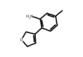 Cc1ccc(C2=CCOC2)c(N)c1